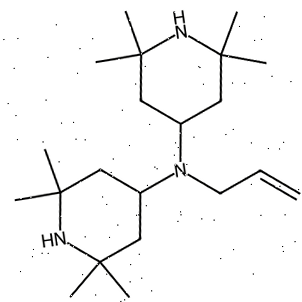 C=CCN(C1CC(C)(C)NC(C)(C)C1)C1CC(C)(C)NC(C)(C)C1